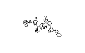 CS(=O)(=O)NCc1cc(F)cc(-c2nccc3[nH]c(-c4n[nH]c5ccc(-c6cncc(OC7CCCCC7)c6)cc45)cc23)c1